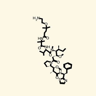 CC[C@H](C)[C@@H]([C@@H](CC(=O)N1CCC[C@H]1[C@H](OC)[C@@H](C)C(=O)N[C@@H](Cc1ccccc1)c1nccs1)OC)N(C)C(=O)[C@@H](NC(=O)C(C)(C)NC(=O)CCC(C)(C)OCCN)C(C)C